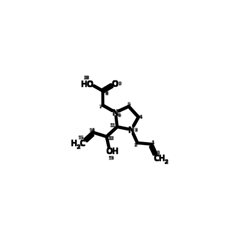 C=CCN1CCN(CC(=O)O)C1C(O)C=C